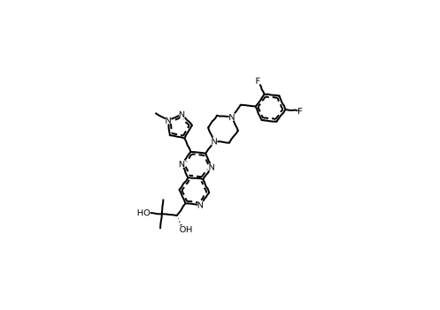 Cn1cc(-c2nc3cc([C@H](O)C(C)(C)O)ncc3nc2N2CCN(Cc3ccc(F)cc3F)CC2)cn1